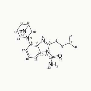 CC(C)CCc1nc2c(N3CC4CC(C3)N4C)cccc2n1C(N)=O